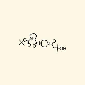 CC(C)(O)CC(=O)N1CCN(C(=O)C2CCCN2C(=O)OC(C)(C)C)CC1